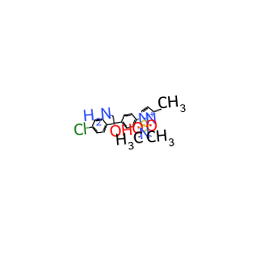 CCC1=N[N+](c2ccc(C(O)(CN)c3ccc(Cl)cc3)cc2)(S(=O)(=O)N(C)C)C=C1